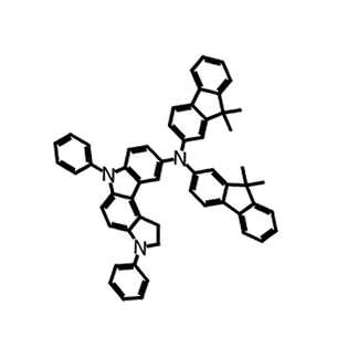 CC1(C)c2ccccc2-c2ccc(N(c3ccc4c(c3)C(C)(C)c3ccccc3-4)c3ccc4c(c3)c3c5c(ccc3n4-c3ccccc3)N(c3ccccc3)CC5)cc21